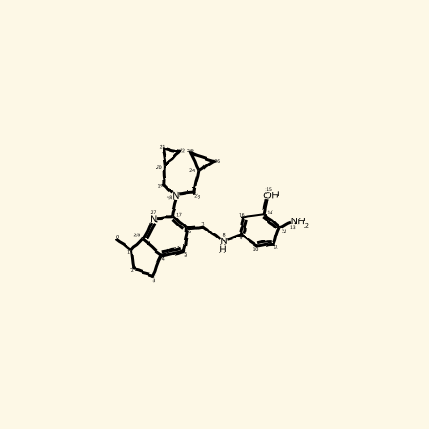 CC1CCc2cc(CNc3ccc(N)c(O)c3)c(N(CC3CC3)CC3CC3)nc21